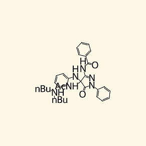 CC(=O)NC1(Nc2ccccc2)C(=O)N(c2ccccc2)N=C1NC(=O)c1ccccc1.CCCCNCCCC